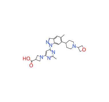 Cc1nc(N2CC(C(=O)O)C2)cc(-n2ncc3cc(C)c(C4CCN(C5COC5)CC4)cc32)n1